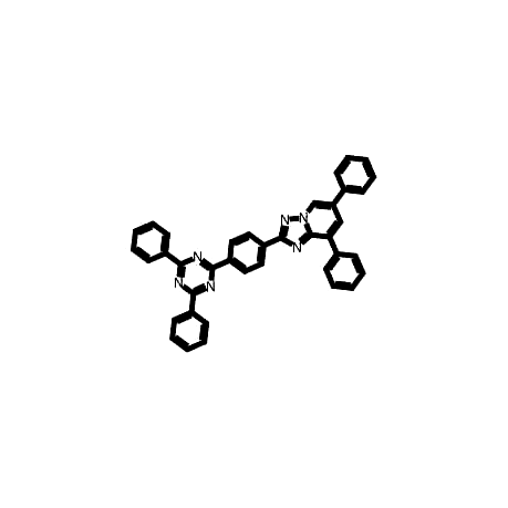 c1ccc(-c2cc(-c3ccccc3)c3nc(-c4ccc(-c5nc(-c6ccccc6)nc(-c6ccccc6)n5)cc4)nn3c2)cc1